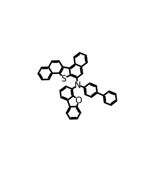 c1ccc(-c2ccc(N(c3cccc4c3oc3ccccc34)c3cc4ccccc4c4c3sc3c5ccccc5ccc34)cc2)cc1